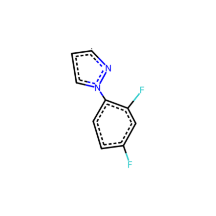 Fc1ccc(-n2cc[c]n2)c(F)c1